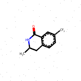 CC1Cc2ccc(C(F)(F)F)cc2C(=O)N1